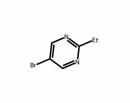 C[CH]c1ncc(Br)cn1